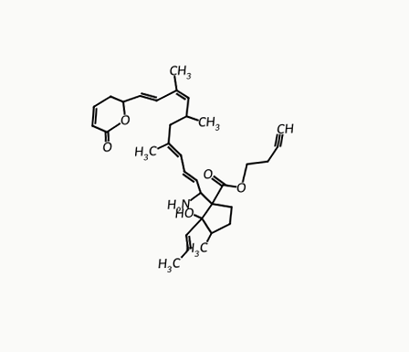 C#CCCOC(=O)C1(C(N)/C=C/C=C(\C)CC(C)/C=C(C)\C=C\C2CC=CC(=O)O2)CCC(C)C1(O)/C=C/C